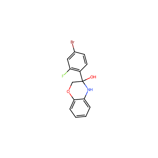 OC1(c2ccc(Br)cc2F)COc2ccccc2N1